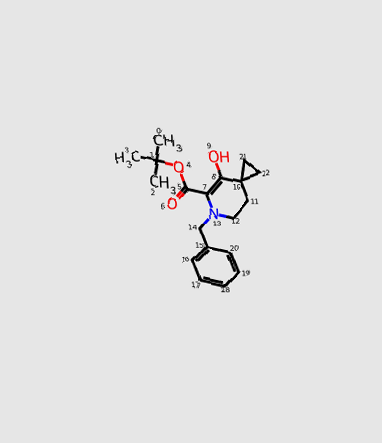 CC(C)(C)OC(=O)C1=C(O)C2(CCN1Cc1ccccc1)CC2